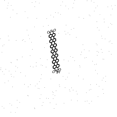 CC(C)N1C(=O)c2ccc3c4ccc5c6ccc7c8ccc9c%10ccc%11c%12ccc%13c%14ccc%15c%16c(ccc(c%17ccc(c%18ccc(c%19ccc(c%20ccc(c%21ccc(c%22ccc(c2c3%22)C1=O)c4c5%21)c6c7%20)c8c9%19)c%10c%11%18)c%12c%13%17)c%16%14)C(=O)N(C)C%15=O